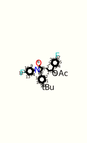 CC(=O)O[C@@H](CC[C@H]1C(=O)N(c2ccc(F)cc2)[C@@H]1c1ccc(C(C)(C)C)cc1)c1ccc(F)cc1